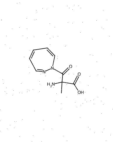 CC(N)(C(=O)O)C(=O)N1C=CC=CC=N1